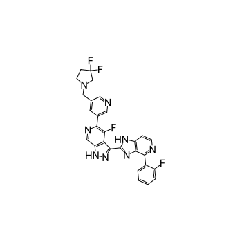 Fc1ccccc1-c1nccc2[nH]c(-c3n[nH]c4cnc(-c5cncc(CN6CCC(F)(F)C6)c5)c(F)c34)nc12